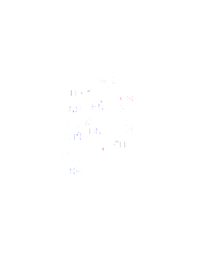 C[C@@H](O)[C@H](NC(=O)[C@@H](NC(=O)[C@H](CC(N)=O)NC(=O)CN)[C@@H](C)O)C(=O)O